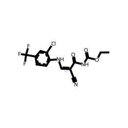 CCOC(=O)NC(=O)/C(C#N)=C\Nc1ccc(C(F)(F)F)cc1Cl